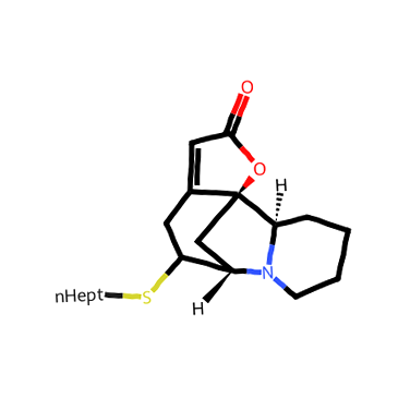 CCCCCCCSC1CC2=CC(=O)O[C@@]23C[C@@H]1N1CCCC[C@@H]13